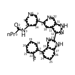 CCCC(=O)Nc1cncc(-c2cc3c(-c4nc5c(-c6ccccc6F)cccc5[nH]4)n[nH]c3cn2)c1